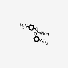 CCCCCCCCCC(Oc1ccc(N)cc1)Oc1cccc(N)c1